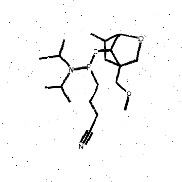 COCC12COC(C(C)C1)C2OP(CCCC#N)N(C(C)C)C(C)C